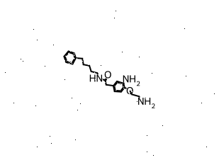 NCCOc1ccc(CC(=O)NCCCCCc2ccccc2)cc1N